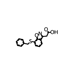 O=C(O)Cc1noc2c(SCc3ccccc3)cccc12